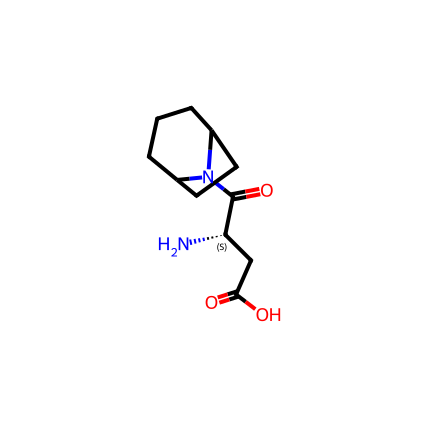 N[C@@H](CC(=O)O)C(=O)N1C2CCCC1CC2